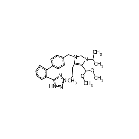 CCCC1=C(C(OC)OC)N(C(C)C)CN1Cc1ccc(-c2ccccc2-c2nnn[nH]2)cc1